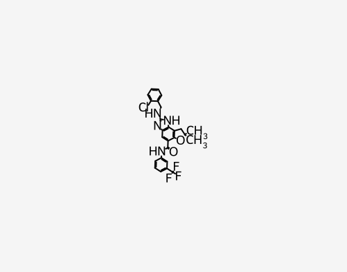 CC1(C)Cc2c(c(C(=O)Nc3cccc(C(F)(F)F)c3)cc3nc(NCc4ccccc4Cl)[nH]c23)O1